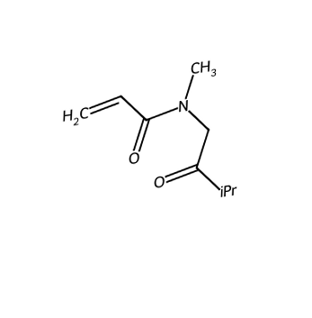 C=CC(=O)N(C)CC(=O)C(C)C